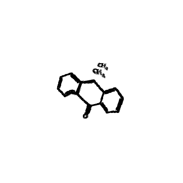 C.C.O=C1c2ccccc2Cc2ccccc21